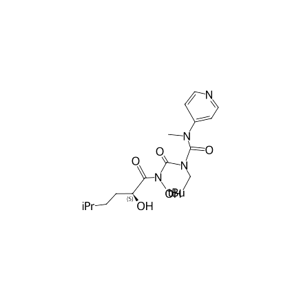 CC(C)CC[C@H](O)C(=O)N(O)C(=O)N(CC(C)(C)C)C(=O)N(C)c1ccncc1